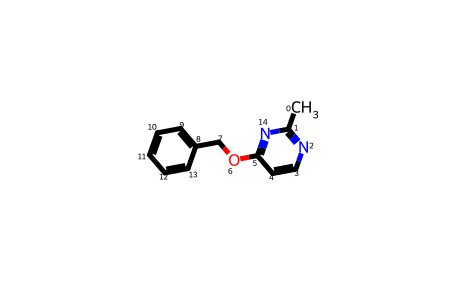 Cc1nccc(OCc2ccccc2)n1